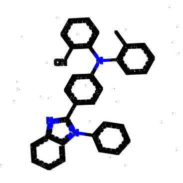 Cc1ccccc1N(c1ccc(-c2nc3ccccc3n2-c2ccccc2)cc1)c1ccccc1N=O